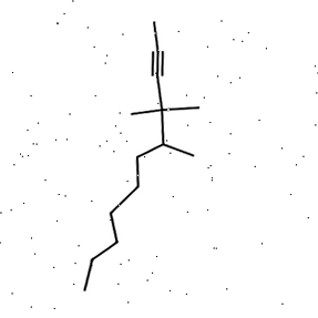 CC#CC(C)(C)C(C)CCCCCC